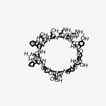 CCCC[C@H]1C(=O)N(C)[C@@H](CCCC)C(=O)N[C@@H](CCCN)C(=O)N[C@H](C(=O)NCC(N)=O)CSCC(=O)N[C@@H](Cc2ccc(O)cc2)C(=O)N2CCC[C@H]2C(=O)NC(CC(=O)O)C(=O)N2CCC[C@H]2C(=O)N[C@@H](CN)C(=O)N[C@@H](CCC(=O)O)C(=O)N2CCC[C@H]2C(=O)N[C@@H](Cc2c[nH]c3ccccc23)C(=O)N[C@@H](CCN)C(=O)N[C@@H](Cc2c[nH]c3ccccc23)C(=O)N1C